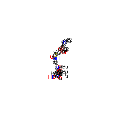 CC(C)(C)OC(=O)N(CCc1ccc(CNC(=O)c2ccc(-c3ccc(C(O)(C(=O)OCC4CCN(Cc5ccccc5)CC4)c4ccccc4)cc3)s2)cc1)C[C@H](O[Si](C)(C)C(C)(C)C)c1ccc(O)c2[nH]c(=O)ccc12